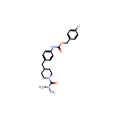 CN(C)C(=O)N1CCC(Cc2ccc(NC(=O)OCc3ccc(Cl)cc3)cc2)CC1